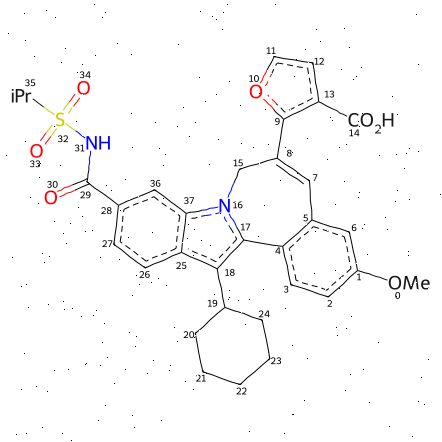 COc1ccc2c(c1)C=C(c1occc1C(=O)O)Cn1c-2c(C2CCCCC2)c2ccc(C(=O)NS(=O)(=O)C(C)C)cc21